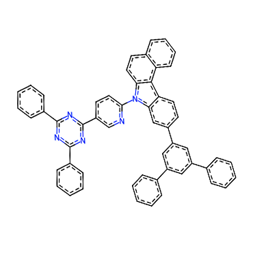 c1ccc(-c2cc(-c3ccccc3)cc(-c3ccc4c5c6ccccc6ccc5n(-c5ccc(-c6nc(-c7ccccc7)nc(-c7ccccc7)n6)cn5)c4c3)c2)cc1